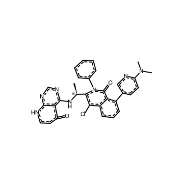 C[C@H](Nc1ncnc2[nH]ccc(=O)c12)c1c(Cl)c2cccc(-c3ccc(N(C)C)nc3)c2c(=O)n1-c1ccccc1